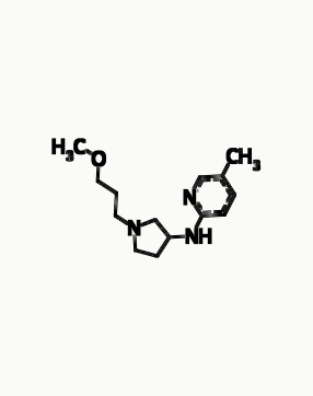 COCCCN1CCC(Nc2ccc(C)cn2)C1